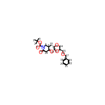 CC(C)(C)OC(=O)N1CC(C[C@H]2CO[C@H](COCc3ccccc3)CO2)C(=O)CC1=O